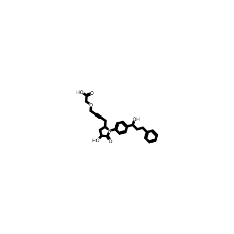 O=C(O)COCC#CCC1CC(O)C(=O)N1c1ccc(C(O)CCc2ccccc2)cc1